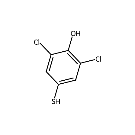 Oc1c(Cl)cc(S)cc1Cl